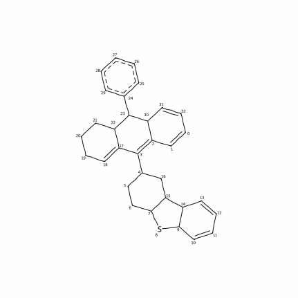 C1=CC2=C(C3CCC4SC5C=CC=CC5C4C3)C3=CCCCC3C(c3ccccc3)C2C=C1